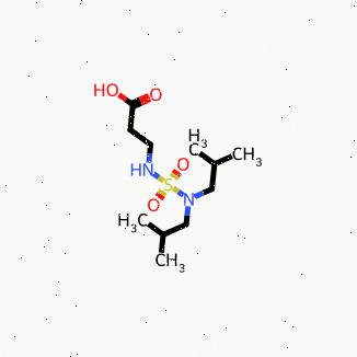 CC(C)CN(CC(C)C)S(=O)(=O)NCCC(=O)O